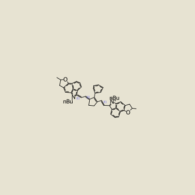 CCCCn1/c(=C/C=C2\CCC(/C=C/C3=[N+](CCCC)c4cc5c(c6cccc3c46)OC(C)C5)=C2c2ccccc2)c2cccc3c4c(cc1c32)CC(C)O4